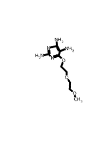 COCCOCCOc1nc(N)nc(N)c1N